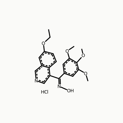 CCOc1ccc2c(/C(=N/O)c3cc(OC)c(OC)c(OC)c3)cncc2c1.Cl